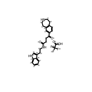 O=C(CCC(=O)c1ccc2c(c1)CCNCC2)NCCc1c[nH]c2ccccc12.O=C(O)C(F)(F)F